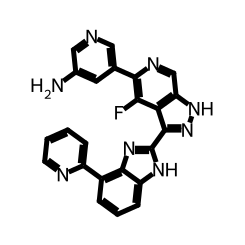 Nc1cncc(-c2ncc3[nH]nc(-c4nc5c(-c6ccccn6)cccc5[nH]4)c3c2F)c1